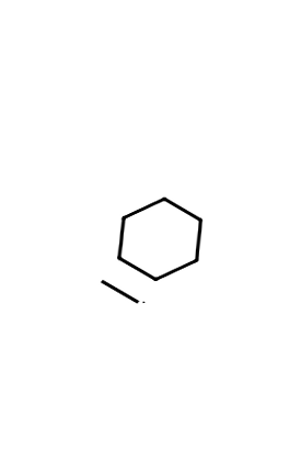 C1CCCCC1.[CH2]C